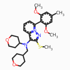 COc1cc(C)cc(OC)c1-c1cccc2c(N(CC3CCOCC3)C3CCOCC3)c(SC)nn12